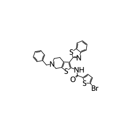 O=C(Nc1sc2c(c1-c1nc3ccccc3s1)CCN(Cc1ccccc1)C2)c1ccc(Br)s1